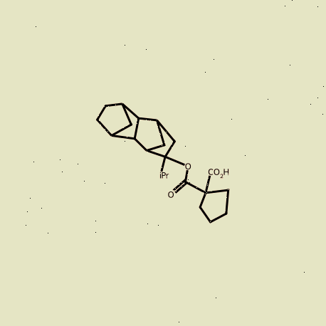 CC(C)C1(OC(=O)C2(C(=O)O)CCCC2)CC2CC1C1C3CCC(C3)C21